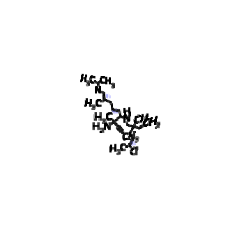 C=CC(C)(C/C=C(\C)Cl)CNC(/C=C/C/C(C)=C/N=C(C)C)C(C)(N)C#CC